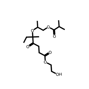 CCC(C)(OC(C)COC(=O)C(C)C)C(=O)CCC(=O)OCCO